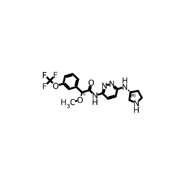 CO[C@@H](C(=O)Nc1ccc(N[C@@H]2CCNC2)nn1)c1cccc(OC(F)(F)F)c1